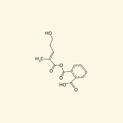 CC(=CCCO)C(=O)OC(=O)c1ccccc1C(=O)O